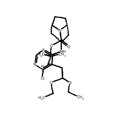 CCOC(Cc1c(Cl)ncnc1NC1CC2CCC(C1)N2C(=O)OC(C)(C)C)OCC